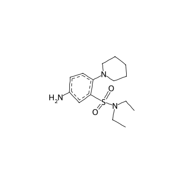 CCN(CC)S(=O)(=O)c1cc(N)ccc1N1CCCCC1